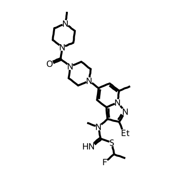 CCc1nn2c(C)cc(N3CCN(C(=O)N4CCN(C)CC4)CC3)cc2c1N(C)C(=N)SC(C)F